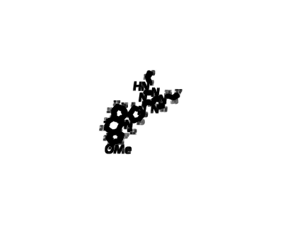 C=CCNc1nc(N2CCC(N(C)C3c4ccccc4CCc4cc(OC)ccc43)CC2)c2ncn(CC=C)c2n1